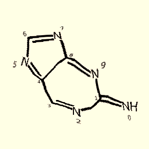 N=C1N=CC2=NC=NC2=N1